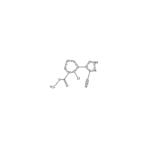 COC(=O)c1cccc(-c2c[nH]nc2C#N)c1Cl